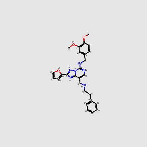 COc1ccc(CNc2ncc(CNCCc3ccccc3)c3nc(-c4ccco4)nn23)cc1OC